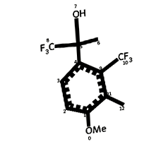 COc1ccc(C(C)(O)C(F)(F)F)c(C(F)(F)F)c1C